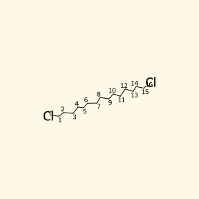 ClCCCCCCCCCCCCCCCCl